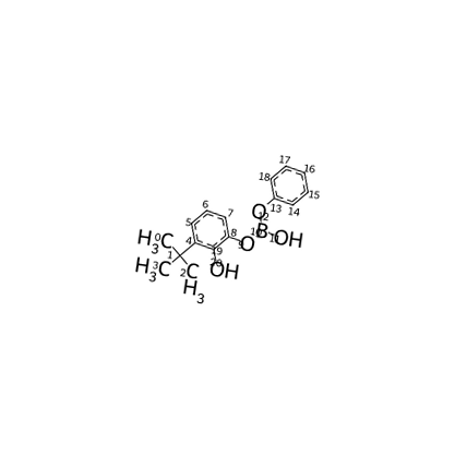 CC(C)(C)c1cccc(OB(O)Oc2ccccc2)c1O